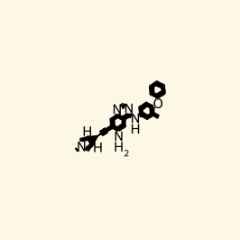 Cc1cc(Nc2ncnc3cc(C#C[C@H]4[C@H]5CN(C)C[C@@H]45)c(N)cc23)ccc1Oc1ccccc1